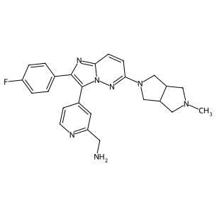 CN1CC2CN(c3ccc4nc(-c5ccc(F)cc5)c(-c5ccnc(CN)c5)n4n3)CC2C1